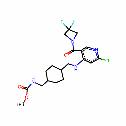 CC(C)(C)OC(=O)NCC1CCC(CNc2cc(Cl)ncc2C(=O)N2CC(F)(F)C2)CC1